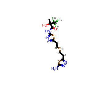 CC(O)(C(=O)Nc1nnc(CCSCCc2nnc(N)s2)s1)C(F)(F)F